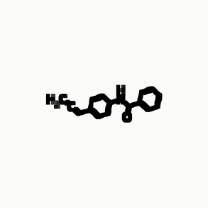 C=C=Cc1ccc(NC(=O)c2ccccc2)cc1